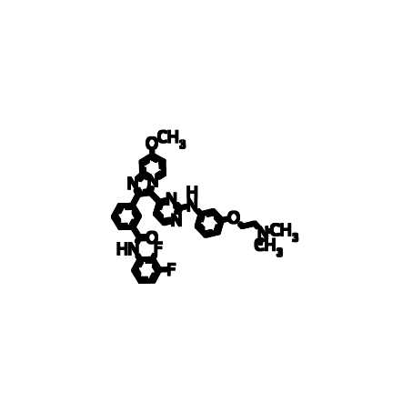 COc1ccn2c(-c3ccnc(Nc4cccc(OCCN(C)C)c4)n3)c(-c3cccc(C(=O)Nc4cccc(F)c4F)c3)nc2c1